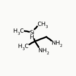 C[SiH](C)C(C)(N)CN